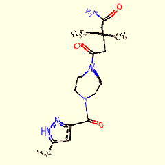 Cc1cc(C(=O)N2CCN(C(=O)[CH]C(C)(C)C(N)=O)CC2)n[nH]1